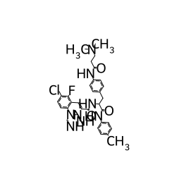 Cc1ccc(NC(=O)C(Cc2ccc(NC(=O)CCN(C)C)cc2)NC(=O)/C=C/c2c(N(C=N)N=N)ccc(Cl)c2F)cc1